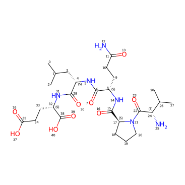 CC(C)C[C@H](NC(=O)[C@H](CCC(N)=O)NC(=O)[C@@H]1CCCN1C(=O)[C@@H](N)C(C)C)C(=O)N[C@@H](CCC(=O)O)C(=O)O